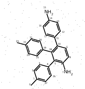 Cc1ccc(-c2c(N)ccc(-c3ccc(N)cc3)c2-c2ccc(C)cc2)cc1